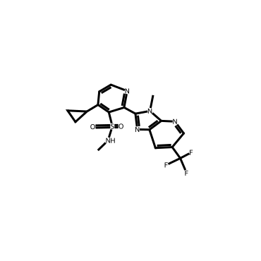 CNS(=O)(=O)c1c(C2CC2)ccnc1-c1nc2cc(C(F)(F)F)cnc2n1C